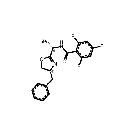 CC(C)[C@H](NC(=O)c1c(F)cc(F)cc1F)C1=N[C@@H](Cc2ccccc2)CO1